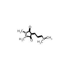 CN(C)/C=C/C=C1C(=O)N(C)N(C)C1=O